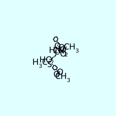 C=C/C(=C\C=C(\O)CC(SCC)c1ccc(C(=O)OC)cc1)C[C@@H](NC(=O)OCc1ccccc1)C(=O)OCC